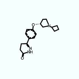 O=C1CCC(c2ccc(O[C@@H]3CCN(C4CCC4)C3)cc2)=NN1